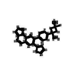 C[C@]1(O)C[C@@](N)(c2ccc(-c3nc4c(cnc5ccnn54)cc3-c3cccs3)cc2)C1